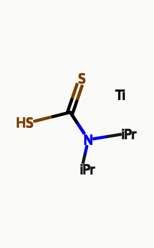 CC(C)N(C(=S)S)C(C)C.[Ti]